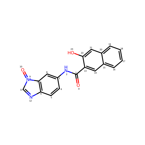 O=C(Nc1ccc2c(c1)[N+](=O)C=N2)c1cc2ccccc2cc1O